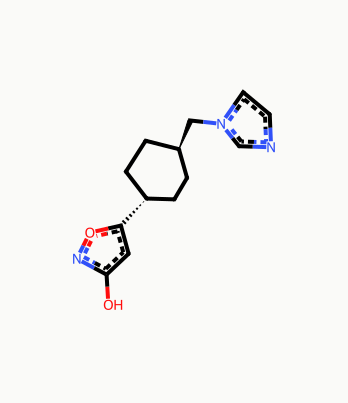 Oc1cc([C@H]2CC[C@H](Cn3ccnc3)CC2)on1